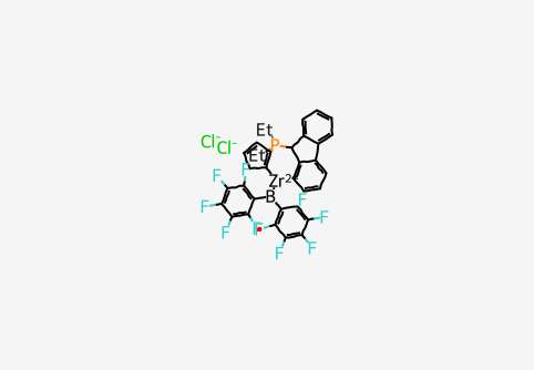 CCP(CC)C1c2ccccc2-c2ccc[c]([Zr+2]([B](c3c(F)c(F)c(F)c(F)c3F)c3c(F)c(F)c(F)c(F)c3F)[C]3=CC=CC3)c21.[Cl-].[Cl-]